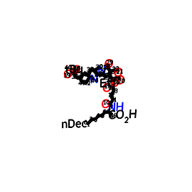 CCCCCCCCCCCCCCCCC(NC(=O)CCCC(=O)O[C@]1(CC)C(=O)OCc2c1cc1n(c2=O)Cc2cc3cc(CC(=O)OC(C)(C)C)ccc3nc2-1)C(=O)O